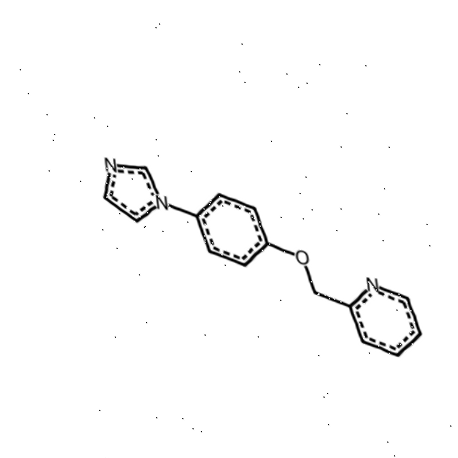 c1ccc(COc2ccc(-n3ccnc3)cc2)nc1